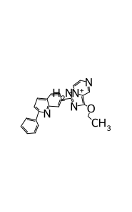 CCOC1=C2C=NC=C[N+]2(N)C(c2ccc3ccc(-c4ccccc4)nc3c2)=N1